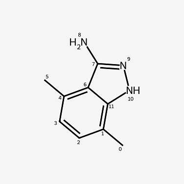 Cc1ccc(C)c2c(N)n[nH]c12